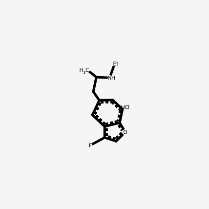 CCNC(C)Cc1ccc2occ(F)c2c1.Cl